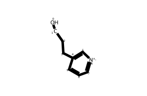 OCCCC1=C[N+]=CC=C1